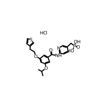 CC(C)Oc1cc(OCCc2ccsc2)cc(C(=O)Nc2ccc(CP(=O)(O)O)cn2)c1.Cl